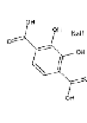 O=C(O)c1ccc(C(=O)O)c(O)c1O.[NaH]